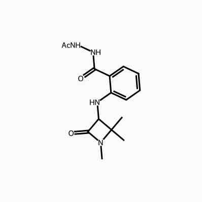 CC(=O)NNC(=O)c1ccccc1NC1C(=O)N(C)C1(C)C